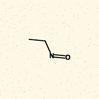 CCN=O